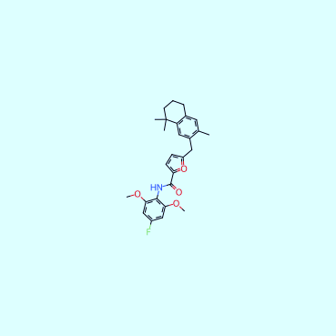 COc1cc(F)cc(OC)c1NC(=O)c1ccc(Cc2cc3c(cc2C)CCCC3(C)C)o1